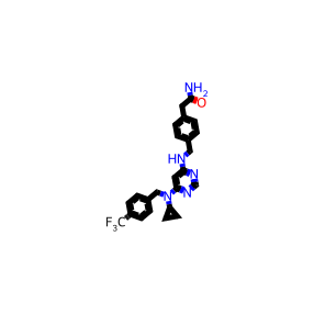 NC(=O)Cc1ccc(CNc2cc(N(Cc3ccc(C(F)(F)F)cc3)C3CC3)ncn2)cc1